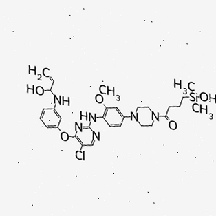 C=CC(O)Nc1cccc(Oc2nc(Nc3ccc(N4CCN(C(=O)CCC[Si](C)(C)O)CC4)cc3OC)ncc2Cl)c1